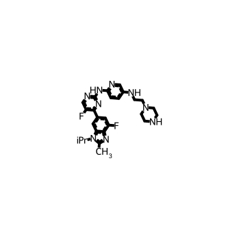 Cc1nc2c(F)cc(-c3nc(Nc4ccc(NCCN5CCNCC5)cn4)ncc3F)cc2n1C(C)C